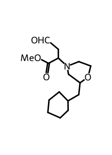 COC(=O)C(CC=O)N1CCOC(CC2CCCCC2)C1